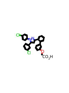 O=C(O)COc1cccc(-c2ccccc2-c2cc(-c3cccc(Cl)c3)n(-c3ccc(Cl)cc3)n2)c1